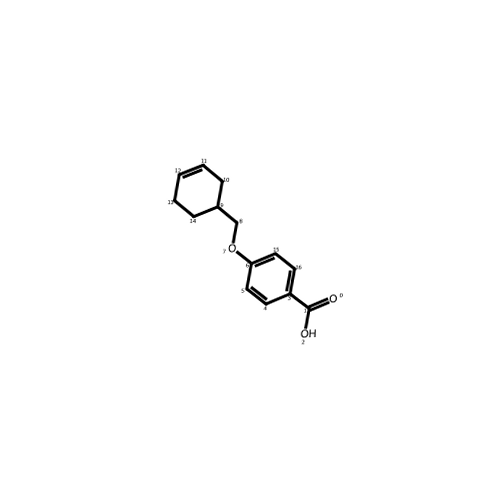 O=C(O)c1ccc(OCC2CC=CCC2)cc1